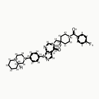 O=C(c1ccc(F)cc1)N1CCC(O)(Cn2cnc3c(cnn3-c3ccc(N4CCN5CCCC[C@@H]5C4)cc3)c2=O)CC1